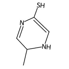 CC1C=NC(S)=CN1